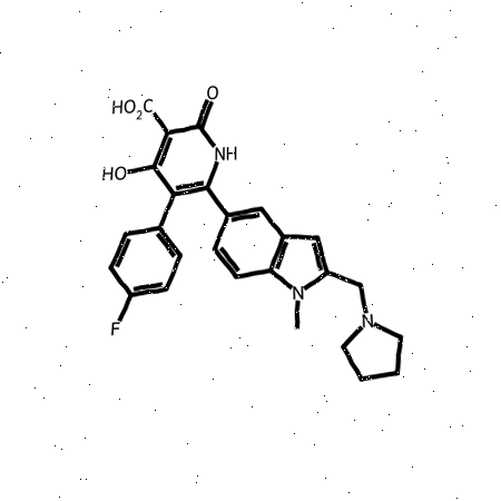 Cn1c(CN2CCCC2)cc2cc(-c3[nH]c(=O)c(C(=O)O)c(O)c3-c3ccc(F)cc3)ccc21